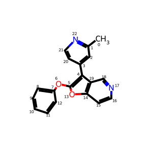 Cc1cc(-c2c(Oc3ccccc3)oc3ccncc23)ccn1